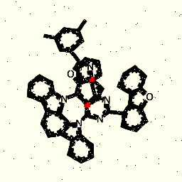 Cc1cc(C)cc(-c2nc3cccc(-n4c5ccccc5c5ccc6c7ccccc7n(-c7nc(-c8ccccc8)nc(-c8cccc9oc%10ccccc%10c89)n7)c6c54)c3o2)c1